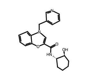 O=C(N[C@H]1CCCC[C@@H]1O)C1=CN(Cc2cccnc2)c2ccccc2O1